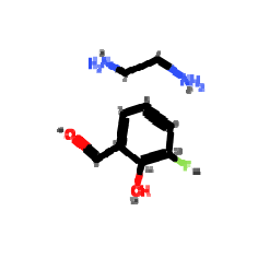 NCCN.O=Cc1cccc(F)c1O